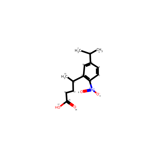 CC(C)c1ccc([N+](=O)[O-])c(C(C)CCC(=O)O)c1